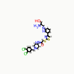 N[C@@H](CO)CNc1cccc(-c2csc(SCC(=O)NC3CCN(Cc4ccc(Cl)c(Cl)c4)CC3)n2)c1